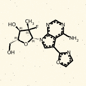 C[C@]1(F)[C@H](O)[C@@H](CO)O[C@H]1n1cc(-c2ncco2)c2c(N)ncnc21